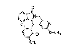 COc1ccc(CN2C(=O)c3ccccc3C2Cc2c(Cl)ccn(C)c2=O)cn1